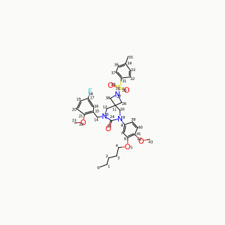 CCCCCOc1cc(N2CC3(CN(Cc4cc(F)ccc4OC)C2=O)CN(S(=O)(=O)c2ccc(C)cc2)C3)ccc1OC